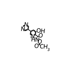 CC(=O)ONC(=O)c1ncc(-c2cncnc2)cc1O